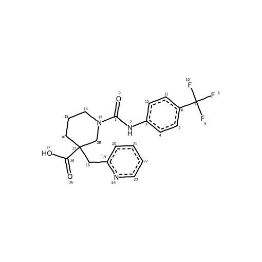 O=C(Nc1ccc(C(F)(F)F)cc1)N1CCCC(Cc2ccccn2)(C(=O)O)C1